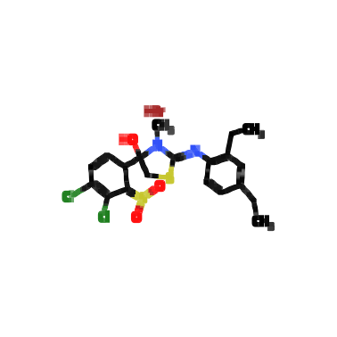 Br.CCc1ccc(N=C2SCC(O)(C3C=CC(Cl)=C(Cl)C3=S(=O)=O)N2C)c(CC)c1